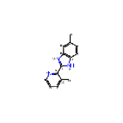 Cc1ccc2[nH]c(-c3ncccc3C)nc2c1